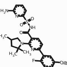 CC(C)COc1ccc(F)c(-c2ccc(C(=O)NS(=O)(=O)c3cccc(N)n3)c(N3CC(C)CC3(C)C)n2)c1